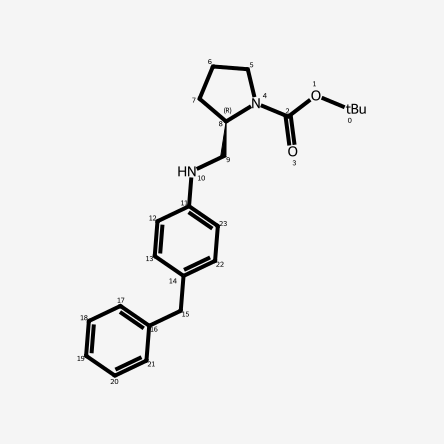 CC(C)(C)OC(=O)N1CCC[C@@H]1CNc1ccc(Cc2ccccc2)cc1